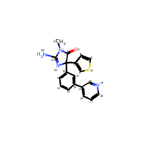 CN1C(=O)C(c2ccsc2)(c2cccc(-c3cccnc3)c2)N=C1N